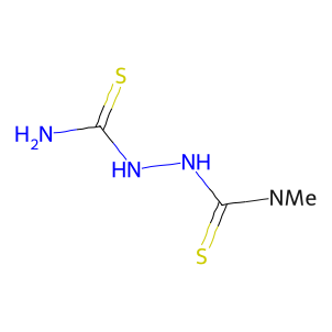 CNC(=S)NNC(N)=S